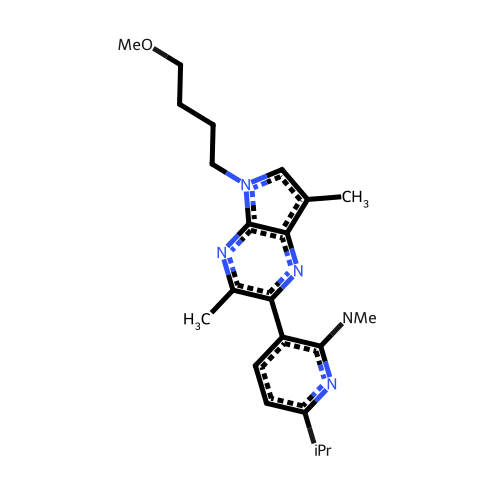 CNc1nc(C(C)C)ccc1-c1nc2c(C)cn(CCCCOC)c2nc1C